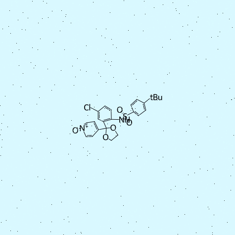 CC(C)(C)c1ccc(S(=O)(=O)Nc2ccc(Cl)cc2C2(c3cc[n+]([O-])cc3)OCCO2)cc1